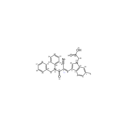 Cc1ccc2c(/C=C(\C#N)C(=O)N(Cc3ccccc3)c3ccccc3)cn(CC(=O)O)c2c1